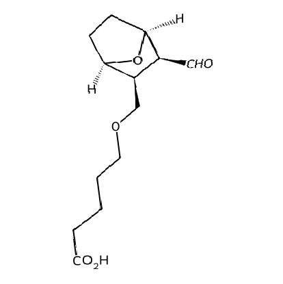 O=C[C@H]1[C@@H](COCCCCC(=O)O)[C@H]2CC[C@@H]1O2